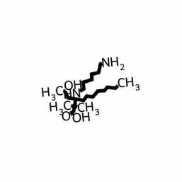 CCCCCCCCC(CC(C)O)(NCCCCCCN)C(C)(C)C(=O)O